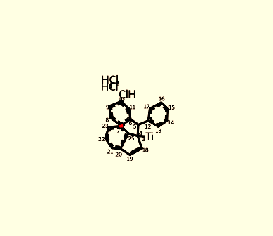 Cl.Cl.Cl.[Ti][C]1(C(c2ccccc2)c2ccccc2)C=Cc2ccccc21